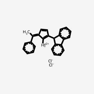 CC(=C1C=CC(C2c3ccccc3-c3ccccc32)=[C]1[Hf+2])c1ccccc1.[Cl-].[Cl-]